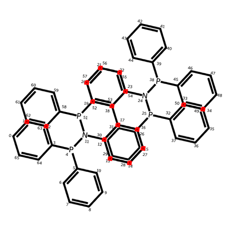 c1ccc(P(c2ccccc2)N(c2ccccc2-c2ccccc2N(P(c2ccccc2)c2ccccc2)P(c2ccccc2)c2ccccc2)P(c2ccccc2)c2ccccc2)cc1